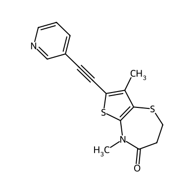 Cc1c(C#Cc2cccnc2)sc2c1SCCC(=O)N2C